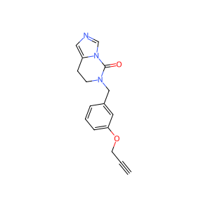 C#CCOc1cccc(CN2CCc3cncn3C2=O)c1